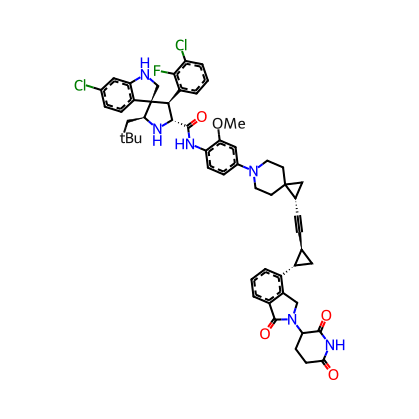 COc1cc(N2CCC3(CC2)C[C@@H]3C#C[C@H]2C[C@@H]2c2cccc3c2CN(C2CCC(=O)NC2=O)C3=O)ccc1NC(=O)[C@@H]1N[C@@H](CC(C)(C)C)[C@@]2(CNc3cc(Cl)ccc32)[C@H]1c1cccc(Cl)c1F